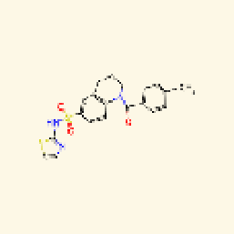 O=C(c1ccc(C(F)(F)F)cc1)N1CCCc2cc(S(=O)(=O)Nc3nccs3)ccc21